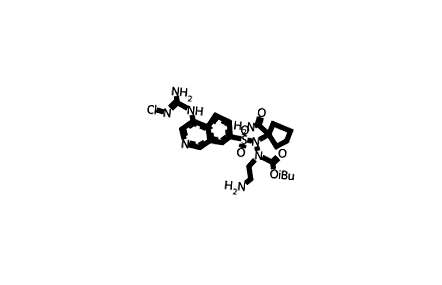 CC(C)COC(=O)N(CCN)N(C1(C(N)=O)CCCC1)S(=O)(=O)c1ccc2c(NC(N)=NCl)cncc2c1